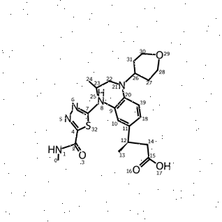 CNC(=O)c1nnc(Nc2cc([C@H](C)CC(=O)O)ccc2N(CC(C)C)C2CCOCC2)s1